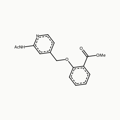 COC(=O)c1ccccc1OCc1ccnc(NC(C)=O)c1